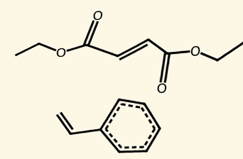 C=Cc1ccccc1.CCOC(=O)C=CC(=O)OCC